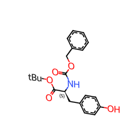 CC(C)(C)OC(=O)[C@H](Cc1ccc(O)cc1)NC(=O)OCc1ccccc1